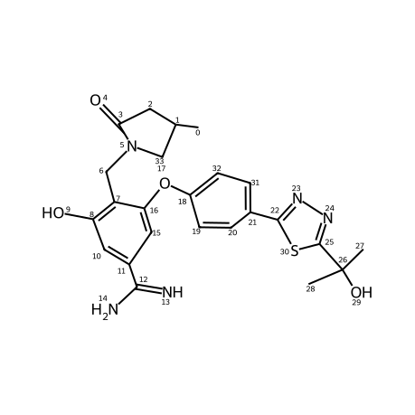 CC1CC(=O)N(Cc2c(O)cc(C(=N)N)cc2Oc2ccc(-c3nnc(C(C)(C)O)s3)cc2)C1